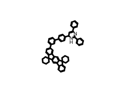 C1=C(c2ccccc2)N=C(c2ccccc2)NC1c1ccc(-c2cccc(-c3ccc4c(c3)-c3cc5c(cc3C43CCCCC3)-c3ccccc3C53CCCCC3)c2)cc1